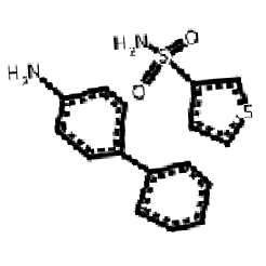 NS(=O)(=O)c1ccsc1.Nc1ccc(-c2ccccc2)cc1